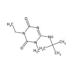 CCn1c(=O)nc(NC(C)(C)C)n(C)c1=O